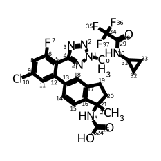 Cn1nnc(-c2c(F)cc(Cl)cc2-c2ccc3c(c2)CCC3(C)NC(=O)O)n1.O=C(NC1CC1)C(F)(F)F